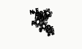 N#CC(F)(F)NC(=O)N[C@](Cc1ccccc1)(c1ccc(F)cc1)c1cc(F)cc(OC(F)(F)C(F)F)c1